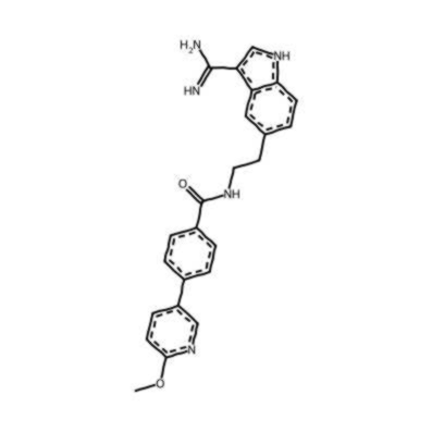 COc1ccc(-c2ccc(C(=O)NCCc3ccc4[nH]cc(C(=N)N)c4c3)cc2)cn1